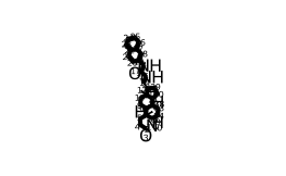 CN1C(=O)CC[C@]2(C)[C@H]3CC[C@]4(C)[C@@H](CNC(=O)Nc5ccc6ccccc6c5)CC[C@H]4[C@@H]3CC[C@@H]12